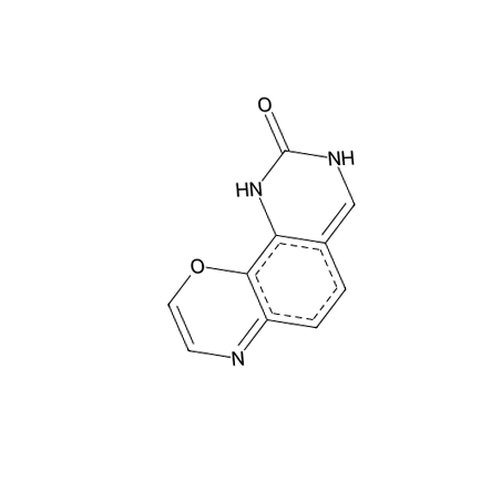 O=C1NC=c2ccc3c(c2N1)OC=CN=3